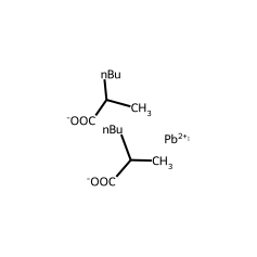 CCCCC(C)C(=O)[O-].CCCCC(C)C(=O)[O-].[Pb+2]